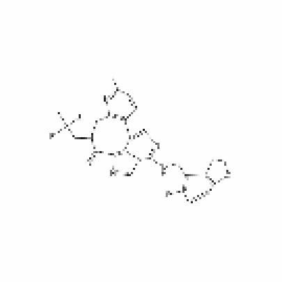 Cc1ccc2c(n1)CN(CC(C)(F)F)C(=O)c1ncn3c(NCc4c(F)ccc5c4CCO5)ncc-2c13